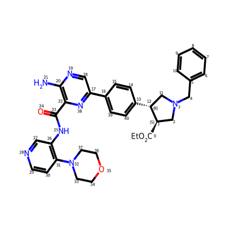 CCOC(=O)[C@@H]1CN(Cc2ccccc2)C[C@H]1c1ccc(-c2cnc(N)c(C(=O)Nc3cnccc3N3CCOCC3)n2)cc1